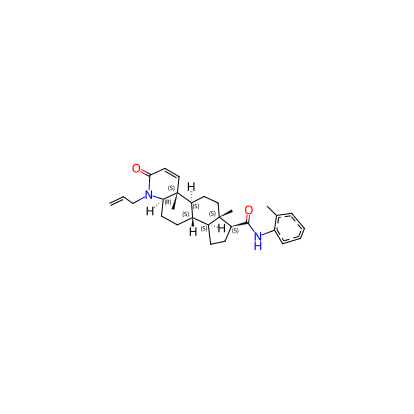 C=CCN1C(=O)C=C[C@]2(C)[C@H]3CC[C@]4(C)[C@@H](C(=O)Nc5ccccc5C)CC[C@H]4[C@@H]3CC[C@@H]12